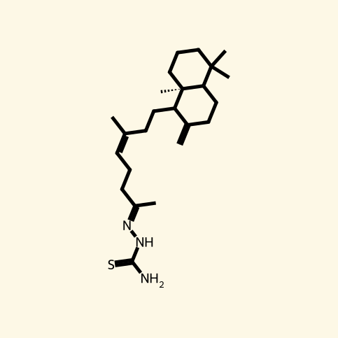 C=C1CCC2C(C)(C)CCC[C@]2(C)C1CC/C(C)=C\CC/C(C)=N/NC(N)=S